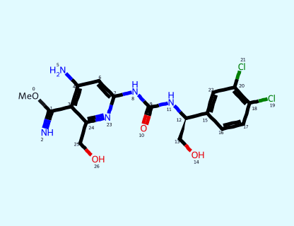 COC(=N)c1c(N)cc(NC(=O)N[C@H](CO)c2ccc(Cl)c(Cl)c2)nc1CO